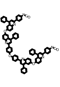 O=C=Nc1ccc(-c2cc(-c3ccccc3)c3cc(Oc4ccc5nc(-c6ccc(Oc7ccc(-c8cc(-c9ccccc9)c9cc(Oc%10ccc%11nc(-c%12ccc(N=C=O)cc%12)cc(-c%12ccccc%12)c%11c%10)ccc9n8)cc7)cc6)cc(-c6ccccc6)c5c4)ccc3n2)cc1